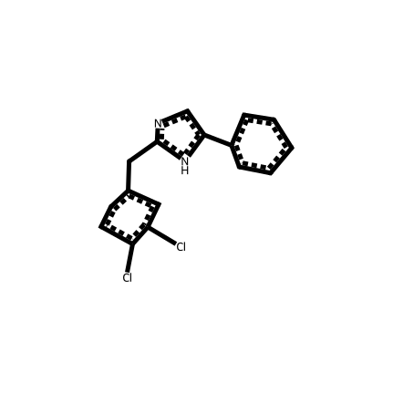 Clc1ccc(Cc2ncc(-c3ccccc3)[nH]2)cc1Cl